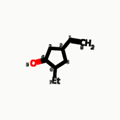 C=CC1CC(=O)C(CC)C1